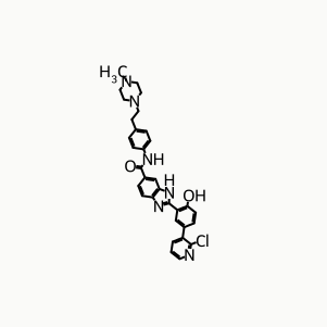 CN1CCN(CCc2ccc(NC(=O)c3ccc4nc(-c5cc(-c6cccnc6Cl)ccc5O)[nH]c4c3)cc2)CC1